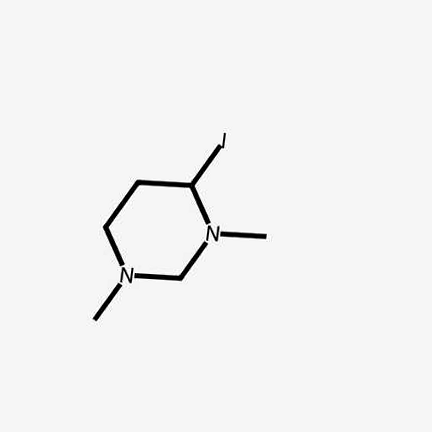 CN1CCC(I)N(C)C1